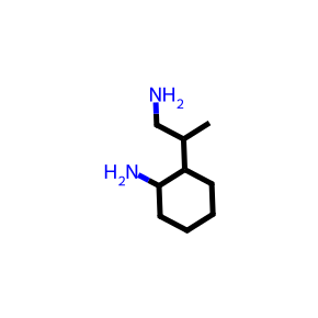 CC(CN)C1CCCCC1N